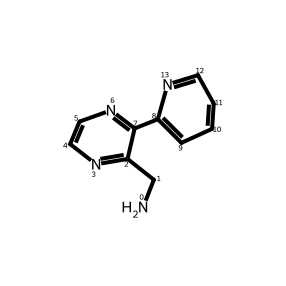 NCc1nccnc1-c1ccccn1